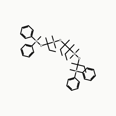 CCC(C)(O[Si](C)(C)C(C)(CC)O[Si](C)(c1ccccc1)c1ccccc1)C(C)(CC)[Si](C)(C)OC(C)(CC)[Si](C)(c1ccccc1)c1ccccc1